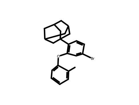 Cc1ccccc1Oc1cc(Br)ccc1C12CC3CC(CC(C3)C1)C2